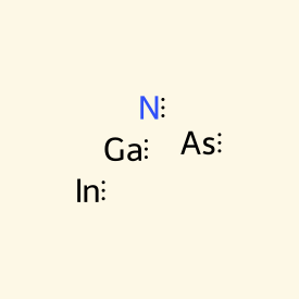 [As].[Ga].[In].[N]